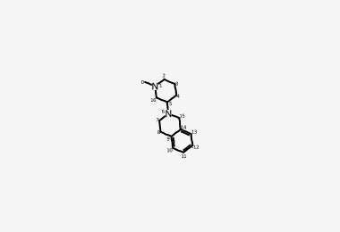 CN1CCCC(N2CCc3cc[c]cc3C2)C1